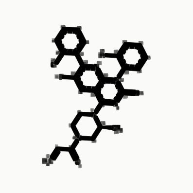 C=CC(=O)N1CCN(c2nc(=O)n(-c3ccccc3C(C)C)c3nc(-c4ccccc4Cl)c(F)cc23)[C@@H](C)C1